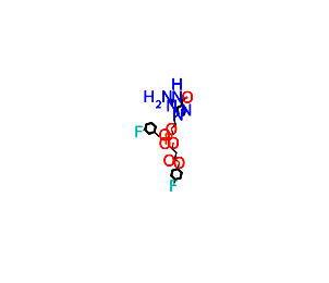 Nc1nc2c(ncn2CCOCP(=O)(OCCC(=O)Oc2ccc(F)cc2)OCc2cccc(F)c2)c(=O)[nH]1